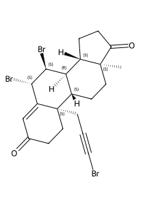 C[C@]12CC[C@H]3[C@@H]([C@H](Br)[C@@H](Br)C4=CC(=O)CC[C@@]43CC#CBr)[C@@H]1CCC2=O